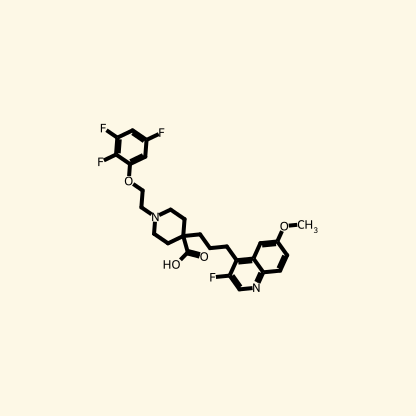 COc1ccc2ncc(F)c(CCCC3(C(=O)O)CCN(CCOc4cc(F)cc(F)c4F)CC3)c2c1